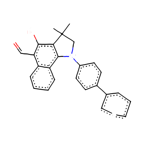 CC1(C)CN(c2ccc(-c3ccccc3)cc2)c2c1c(O)c(C=O)c1ccccc21